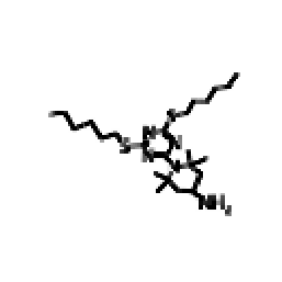 CCCCCCSc1nc(SCCCCCC)nc(N2C(C)(C)CC(N)CC2(C)C)n1